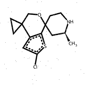 C[C@H]1CC2(CCN1)OCC1(CC1)c1cc(Cl)sc12